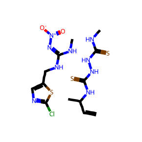 C=CC(C)NC(=S)NNC(=S)NC.CNC(=N[N+](=O)[O-])NCc1cnc(Cl)s1